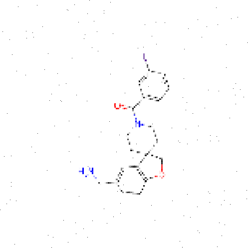 NCc1ccc2c(c1)C1(CCN(C(=O)c3cccc(I)c3)CC1)CO2